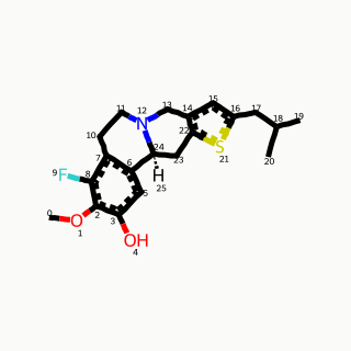 COc1c(O)cc2c(c1F)CCN1Cc3cc(CC(C)C)sc3C[C@@H]21